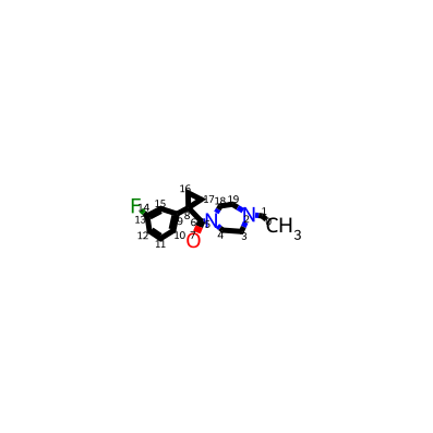 CCN1CCN(C(=O)C2(c3cccc(F)c3)CC2)CC1